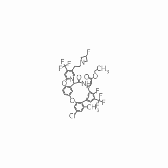 CCOC(=O)C[C@@H]1NC(=O)C(n2cc(CCN3CC(F)C3)c(C(F)(F)F)cc2=O)c2cccc(c2)Oc2cc(Cl)cc(C)c2-c2cc1c(F)c(C(F)(F)F)c2